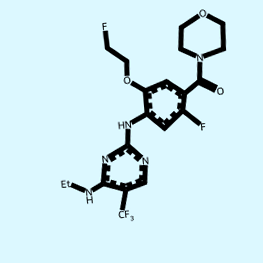 CCNc1nc(Nc2cc(F)c(C(=O)N3CCOCC3)cc2OCCF)ncc1C(F)(F)F